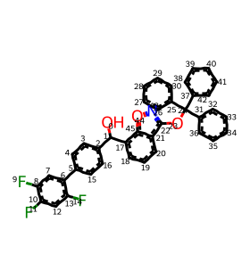 OC(c1ccc(-c2cc(F)c(F)cc2F)cc1)c1cccc2c(OC(c3ccccc3)(c3ccccc3)c3ccccc3)noc12